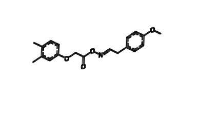 COc1ccc(C/C=N/OC(=O)COc2ccc(C)c(C)c2)cc1